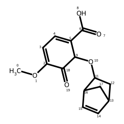 COC1=CC=C(C(=O)O)C(OC2CC3C=CC2C3)C1=O